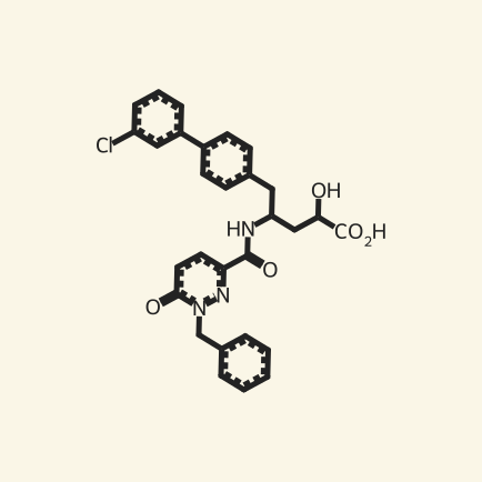 O=C(NC(Cc1ccc(-c2cccc(Cl)c2)cc1)CC(O)C(=O)O)c1ccc(=O)n(Cc2ccccc2)n1